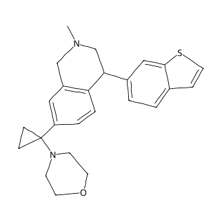 CN1Cc2cc(C3(N4CCOCC4)CC3)ccc2C(c2ccc3ccsc3c2)C1